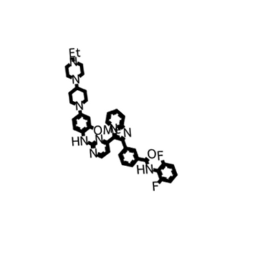 CCN1CCN(C2CCN(c3ccc(Nc4nccc(-c5c(-c6cccc(C(=O)Nc7c(F)cccc7F)c6)nc6ccccn56)n4)c(OC)c3)CC2)CC1